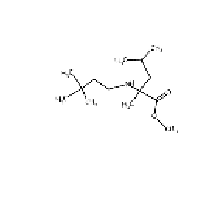 COC(=O)C(C)(CC(C)C)NCCC(C)(C)C